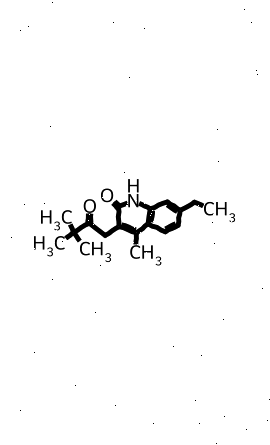 CCc1ccc2c(C)c(CC(=O)C(C)(C)C)c(=O)[nH]c2c1